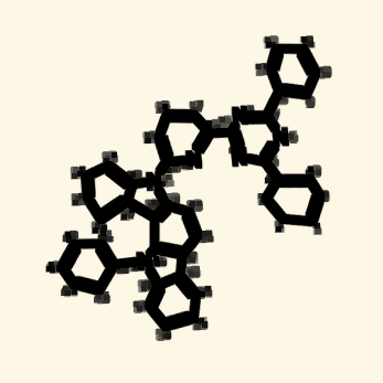 C1=CCCC(c2nc(-c3ccccc3)nc(-c3cccc(-n4c5ccccc5c5c4ccc4c6ccccc6n(-c6ccccc6)c45)n3)n2)=C1